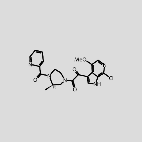 COc1cnc(Cl)c2[nH]cc(C(=O)C(=O)N3CCN(C(=O)c4ccccn4)[C@H](C)C3)c12